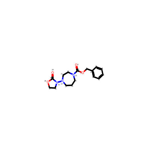 O=C(OCc1ccccc1)N1CCCN(N2CCOC2=O)CC1